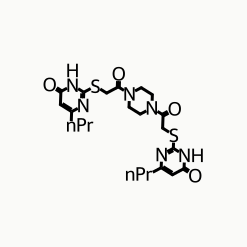 CCCc1cc(=O)[nH]c(SCC(=O)N2CCN(C(=O)CSc3nc(CCC)cc(=O)[nH]3)CC2)n1